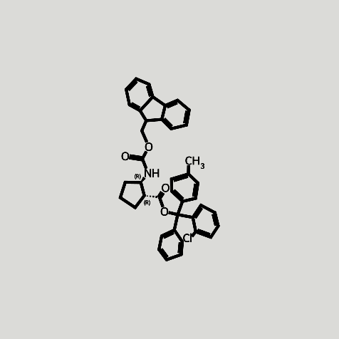 Cc1ccc(C(OC(=O)[C@@H]2CCC[C@H]2NC(=O)OCC2c3ccccc3-c3ccccc32)(c2ccccc2)c2ccccc2Cl)cc1